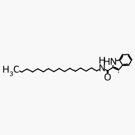 CCCCCCCCCCCCCCCCNC(=O)c1[c]c2ccccc2[nH]1